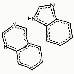 c1ccc2[nH]cnc2c1.c1ccc2ncncc2c1